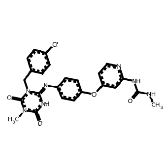 CNC(=O)Nc1cc(Oc2ccc(/N=c3\[nH]c(=O)n(C)c(=O)n3Cc3ccc(Cl)cc3)cc2)ccn1